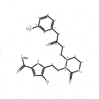 COC(=O)c1cc(Cl)c(CCN2C(=O)SCCN2CCC(=O)Cc2cccc(C)c2)s1